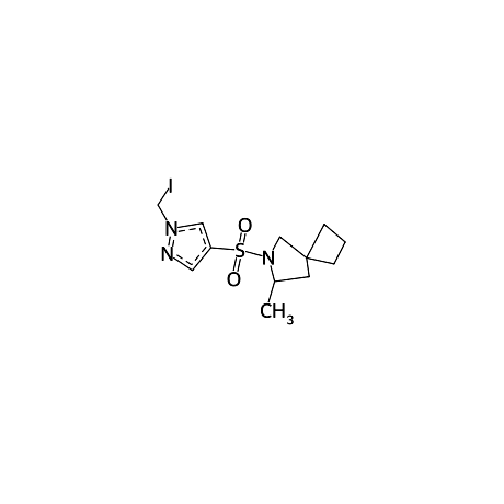 CC1CC2(CCC2)CN1S(=O)(=O)c1cnn(CI)c1